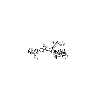 CC1(C)OB(c2ccc(-c3cc4nc(O[C@@H]5CO[C@@H]6CO[Si](C(C)(C)C)(C(C)(C)C)O[C@H]65)n(COCC[Si](C)(C)C)c4cc3Cl)cc2)OC1(C)C